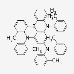 Cc1ccccc1N(c1cc2c3c(c1)N(c1ccccc1C)c1c(C)cccc1B3c1cccc(C)c1N2c1ccccc1C)c1ccccc1C